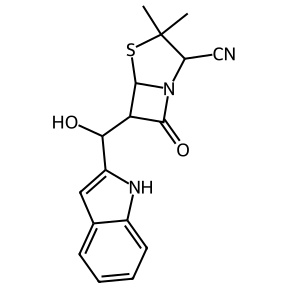 CC1(C)SC2C(C(O)c3cc4ccccc4[nH]3)C(=O)N2C1C#N